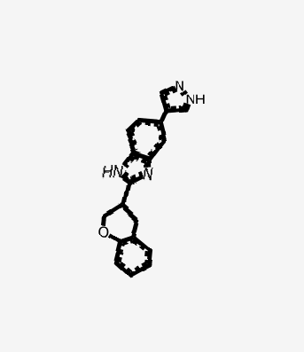 c1ccc2c(c1)CC(c1nc3cc(-c4cn[nH]c4)ccc3[nH]1)CO2